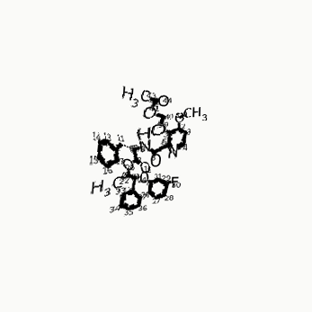 COc1ccnc(C(=O)N[C@@H](Cc2ccccc2)C(=O)O[C@@H](C)[C@H](Oc2cccc(F)c2)c2ccccc2)c1OCOC(C)=O